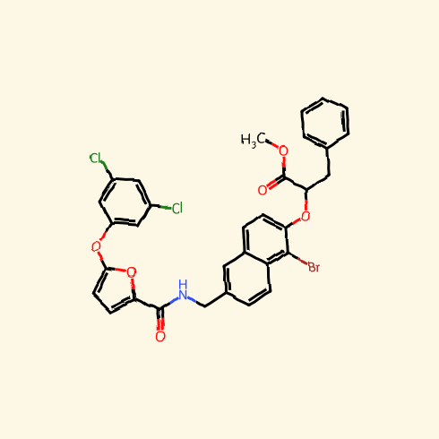 COC(=O)C(Cc1ccccc1)Oc1ccc2cc(CNC(=O)c3ccc(Oc4cc(Cl)cc(Cl)c4)o3)ccc2c1Br